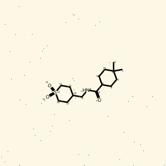 CC1(C)CCC(C(=O)NCC2CCS(=O)(=O)CC2)CC1